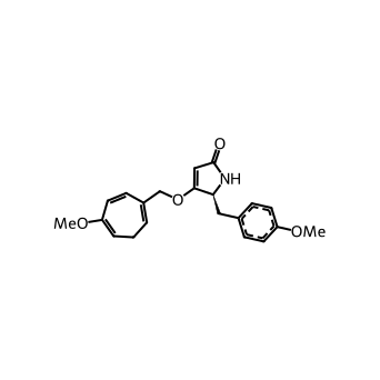 COC1=CCC=C(COC2=CC(=O)N[C@H]2Cc2ccc(OC)cc2)C=C1